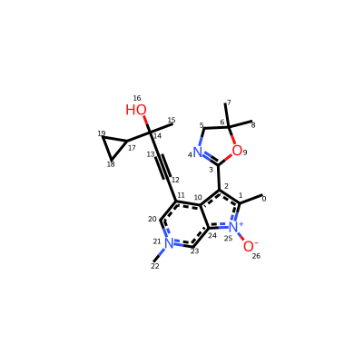 Cc1c(C2=NCC(C)(C)O2)c2c(C#CC(C)(O)C3CC3)cn(C)cc-2[n+]1[O-]